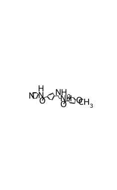 COc1ccc(C(=O)NCC(N)c2ccc(C(=O)Nc3ccncc3)cc2)cc1